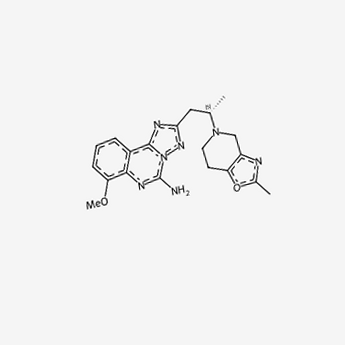 COc1cccc2c1nc(N)n1nc(C[C@H](C)N3CCc4oc(C)nc4C3)nc21